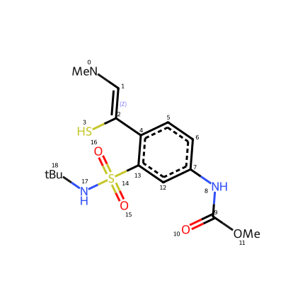 CN/C=C(\S)c1ccc(NC(=O)OC)cc1S(=O)(=O)NC(C)(C)C